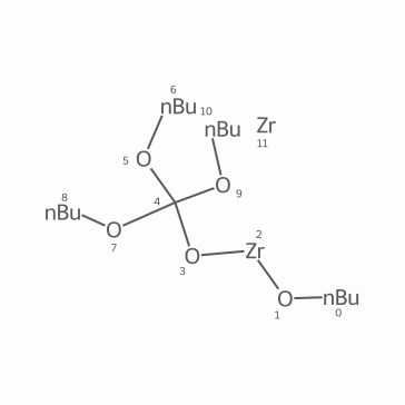 CCCC[O][Zr][O]C(OCCCC)(OCCCC)OCCCC.[Zr]